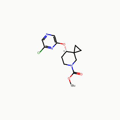 CC(C)(C)OC(=O)N1CC[C@H](Oc2cncc(Cl)n2)C2(CC2)C1